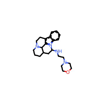 c1ccc2c(c1)c1c3n2C(NCCN2CCOCC2)CC2CCCN(CC1)C32